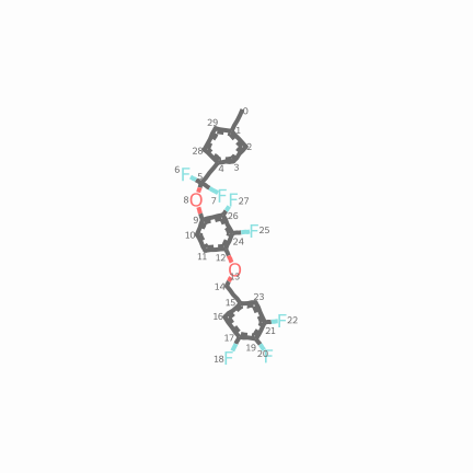 Cc1ccc(C(F)(F)Oc2ccc(OCc3cc(F)c(F)c(F)c3)c(F)c2F)cc1